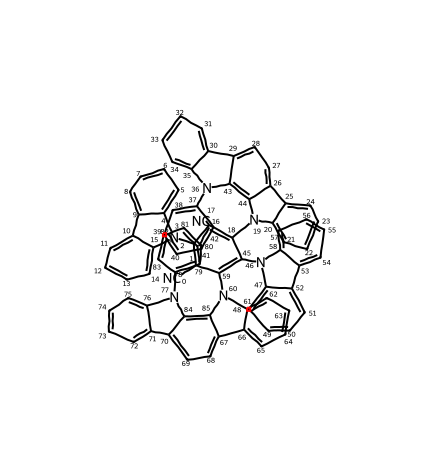 N#Cc1c(-n2c3ccccc3c3ccccc32)c(C#N)c(-n2c3ccccc3c3ccc4c5ccccc5n(-c5ccccc5)c4c32)c(-n2c3ccccc3c3ccccc32)c1-n1c2ccccc2c2ccc3c4ccccc4n(-c4ccccc4)c3c21